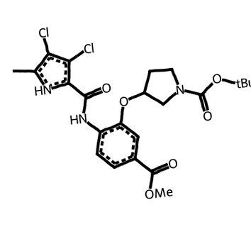 COC(=O)c1ccc(NC(=O)c2[nH]c(C)c(Cl)c2Cl)c(OC2CCN(C(=O)OC(C)(C)C)C2)c1